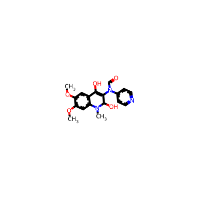 COc1cc2c(cc1OC)N(C)C(O)C(N(C=O)c1ccncc1)=C2O